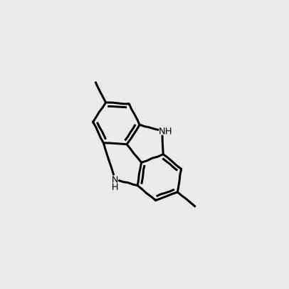 Cc1cc2[nH]c3cc(C)cc4[nH]c(c1)c2c34